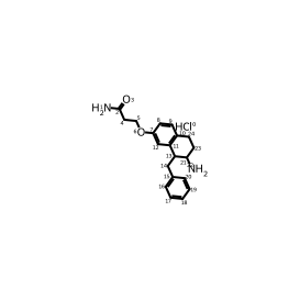 Cl.NC(=O)CCOc1ccc2c(c1)C(Cc1ccccc1)C(N)CC2